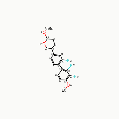 CCCCOC1CCC(c2ccc(-c3ccc(OCC)c(F)c3F)c(F)c2)CO1